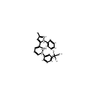 Cc1cc(C2=CC=CN(c3cccc(C(F)(F)F)c3)N2)n(-c2ccccc2)n1